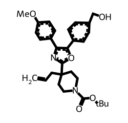 C=CCC1(c2nc(-c3ccc(OC)cc3)c(-c3ccc(CO)cc3)o2)CCN(C(=O)OC(C)(C)C)CC1